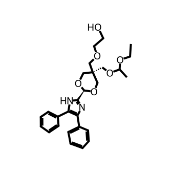 CCOC(C)OC[C@]1(COCCO)CO[C@@H](c2nc(-c3ccccc3)c(-c3ccccc3)[nH]2)OC1